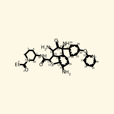 CCC(=O)N1CCCC(NC(=O)C2Sc3c(N)ccc4c3C2C(N)C(=O)C4(N)c2ccc(Oc3ccccn3)cc2)C1